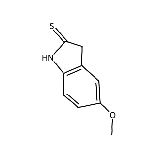 COc1ccc2c(c1)CC(=S)N2